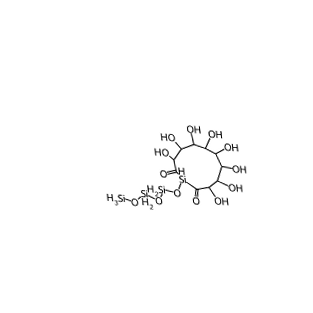 O=C1C(O)C(O)C(O)C(O)C(O)C(O)C(O)C(O)C(=O)[SiH]1O[SiH2]O[SiH2]O[SiH3]